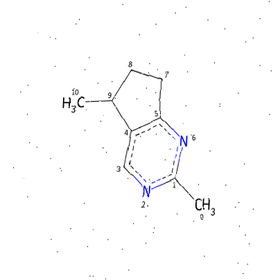 Cc1ncc2c(n1)CCC2C